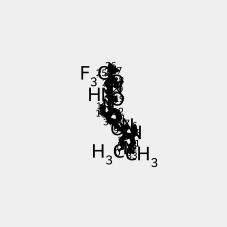 C[C@H]1Cc2c(ncnc2Oc2ccc3c(ccn3C(=O)Nc3cc(C4(C(F)(F)F)CC4)on3)c2)CN1C